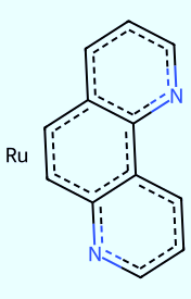 [Ru].c1cnc2c(c1)ccc1ncccc12